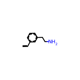 C=Cc1cccc(CCN)c1